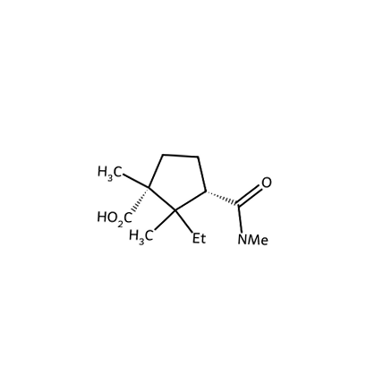 CCC1(C)[C@@H](C(=O)NC)CC[C@@]1(C)C(=O)O